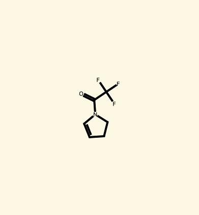 O=C(N1C=CCC1)C(F)(F)F